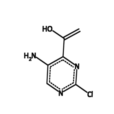 C=C(O)c1nc(Cl)ncc1N